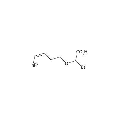 CCC/C=C\CCOC(CC)C(=O)O